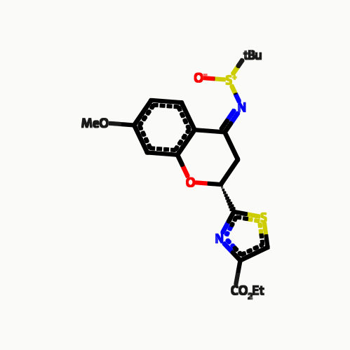 CCOC(=O)c1csc([C@H]2C/C(=N/[S+]([O-])C(C)(C)C)c3ccc(OC)cc3O2)n1